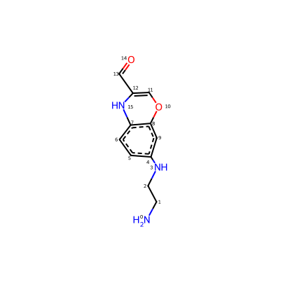 NCCNc1ccc2c(c1)OC=C(C=O)N2